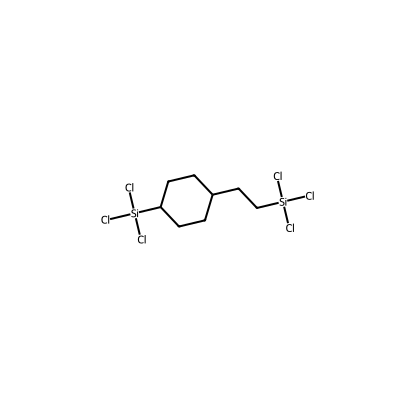 Cl[Si](Cl)(Cl)CCC1CCC([Si](Cl)(Cl)Cl)CC1